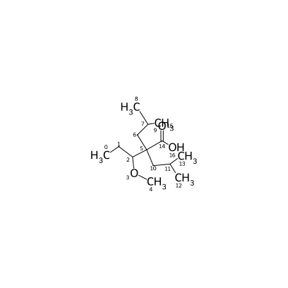 CCC(OC)C(CC(C)C)(CC(C)C)C(=O)O